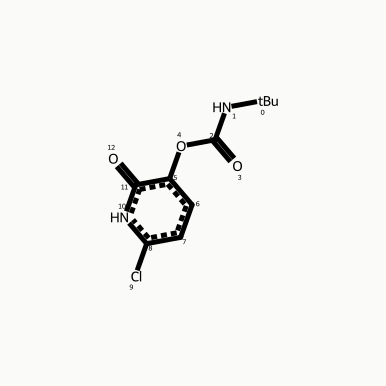 CC(C)(C)NC(=O)Oc1ccc(Cl)[nH]c1=O